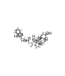 CC(CCC(=O)NCCc1nc2ccccc2[nH]1)[C@H]1CC[C@H]2[C@@H]3CC[C@@H]4C[C@H](O)CC[C@]4(C)[C@H]3C[C@H](O)[C@]12C